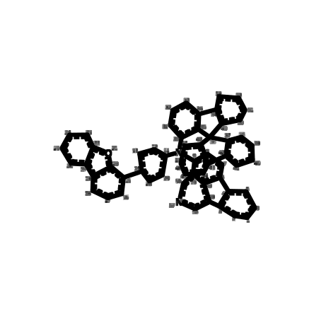 c1ccc2c(c1)-c1ccc(N(c3ccc(-c4cccc5c4oc4ccccc45)cc3)c3cccc4c3C3(c5ccccc5-c5ccccc53)c3ccccc3-4)c3cncc-2c13